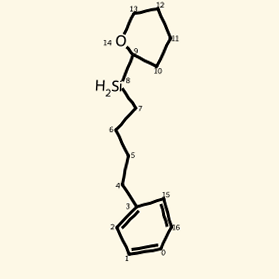 c1ccc(CCCC[SiH2]C2CCCCO2)cc1